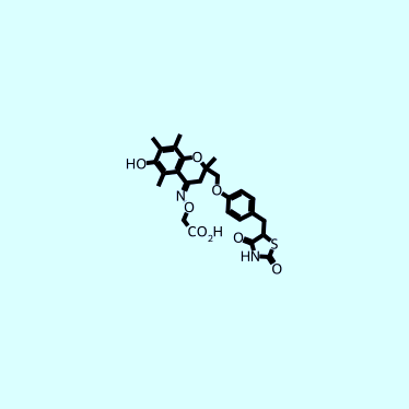 Cc1c(C)c2c(c(C)c1O)C(=NOCC(=O)O)CC(C)(COc1ccc(CC3SC(=O)NC3=O)cc1)O2